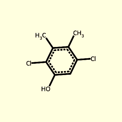 Cc1c(Cl)cc(O)c(Cl)c1C